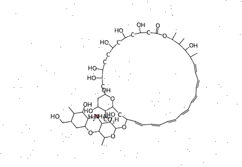 CC(=O)NC1C(OC2C(C)OC(OC3/C=C/C=C/C=C/C=C/C=C/C=C/C=C/C(C)C(O)C(C)C(C)OC(=O)CC(O)CC(O)CC(O)CCC(O)C(O)CC4(O)CC(O)C(C(=O)O)C(C3)O4)C(O)C2N)CC(CO)C(C)C1O